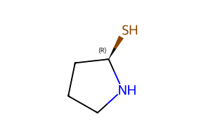 S[C@@H]1CCCN1